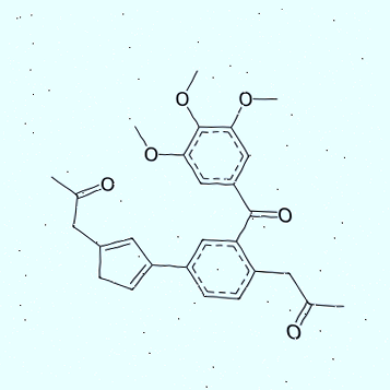 COc1cc(C(=O)c2cc(C3=CCC(CC(C)=O)=C3)ccc2CC(C)=O)cc(OC)c1OC